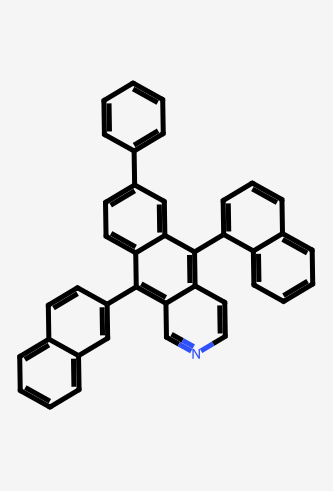 c1ccc(-c2ccc3c(-c4ccc5ccccc5c4)c4cnccc4c(-c4cccc5ccccc45)c3c2)cc1